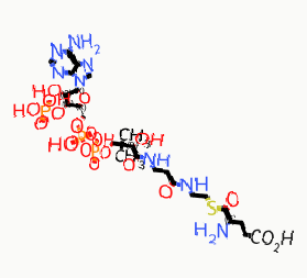 CC(C)(COP(=O)(O)OP(=O)(O)OC[C@H]1O[C@@H](n2cnc3c(N)ncnc32)[C@H](O)[C@@H]1OP(=O)(O)O)[C@@H](O)C(=O)NCCC(=O)NCCSC(=O)[C@@H](N)CCC(=O)O